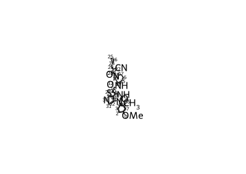 COc1ccc(N2C(=O)Nc3c(C(=O)N[C@@H]4CCCN(C(=O)/C(C#N)=C/C5CC5)C4)sc4nccc2c34)c(C)c1